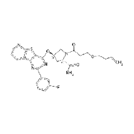 C=CCCOCCC(=O)N1C[C@H](Oc2nc(-c3cccc(F)c3)nc3c2sc2ncccc23)C[C@H]1C(N)=O